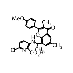 COc1ccc(-c2oc3c([C@@H](C)Nc4ccc(Cl)nc4C(=O)O)cc(C)cc3c(=O)c2C)cc1